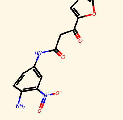 Nc1ccc(NC(=O)CC(=O)c2ccco2)cc1[N+](=O)[O-]